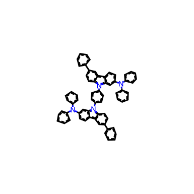 c1ccc(-c2ccc3c(c2)c2ccc(N(c4ccccc4)c4ccccc4)cc2n3-c2ccc(-n3c4ccc(-c5ccccc5)cc4c4ccc(N(c5ccccc5)c5ccccc5)cc43)cc2)cc1